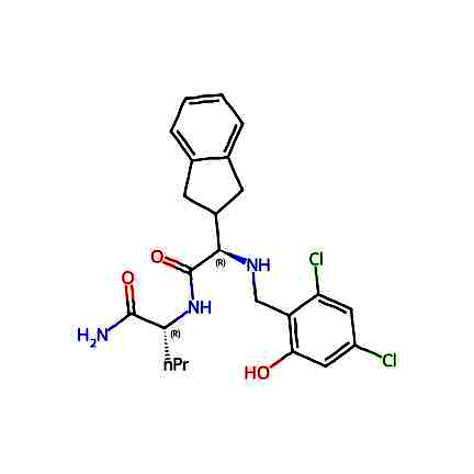 CCC[C@@H](NC(=O)[C@H](NCc1c(O)cc(Cl)cc1Cl)C1Cc2ccccc2C1)C(N)=O